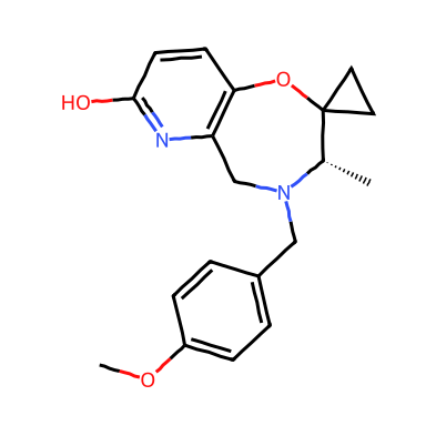 COc1ccc(CN2Cc3nc(O)ccc3OC3(CC3)[C@@H]2C)cc1